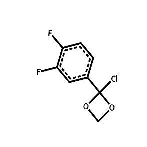 Fc1ccc(C2(Cl)OCO2)cc1F